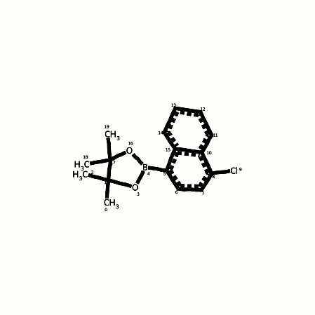 CC1(C)OB(c2ccc(Cl)c3ccccc23)OC1(C)C